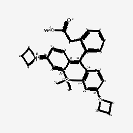 COC(=O)Cc1ccccc1C1=C2C=CC(=[N+]3CCC3)C=C2S(C)(C)c2cc(N3CCC3)ccc21